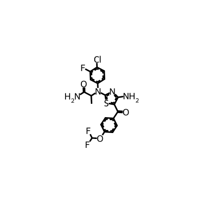 CC(C(N)=O)N(c1ccc(Cl)c(F)c1)c1nc(N)c(C(=O)c2ccc(OC(F)F)cc2)s1